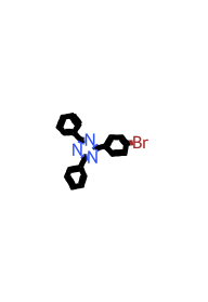 Brc1ccc(-c2nc(-c3c#cccc3)nc(-c3ccccc3)n2)cc1